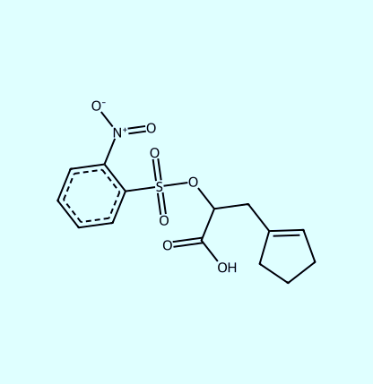 O=C(O)C(CC1=CCCC1)OS(=O)(=O)c1ccccc1[N+](=O)[O-]